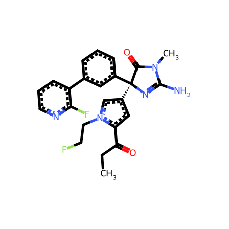 CCC(=O)c1cc([C@@]2(c3cccc(-c4cccnc4F)c3)N=C(N)N(C)C2=O)cn1CCF